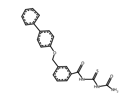 NC(=O)NC(=S)NC(=O)c1cccc(COc2ccc(-c3ccccc3)cc2)c1